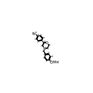 COc1ccc(CN2CCO[C@H](c3ccc(Br)cc3)C2)cc1